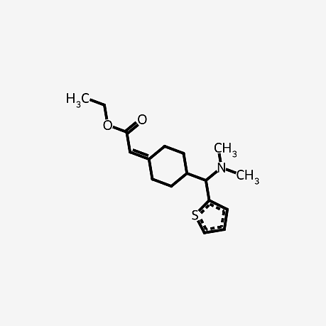 CCOC(=O)C=C1CCC(C(c2cccs2)N(C)C)CC1